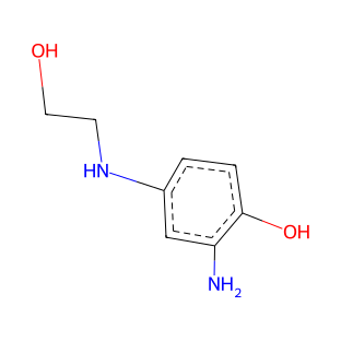 Nc1cc(NCCO)ccc1O